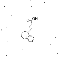 O=C(O)CCCC1CCCCc2ccccc21